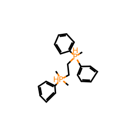 C[PH](C)(CC[PH](C)(c1ccccc1)c1ccccc1)c1ccccc1